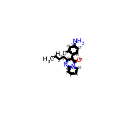 CCCCc1nc2ccccn2c(=O)c1-c1ccc(N)cc1C